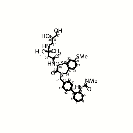 CNC(=O)Nc1ccccc1-c1ccc(CN2Cc3ccc(SC)cc3S[C@@H](NC(=O)CC(C)(C)NC[C@H](O)CO)C2=O)cc1